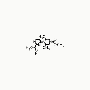 COC(=O)N1C[C@@H](C)N(c2ccnc([C@@H](C)O)n2)[C@@H](C)C1